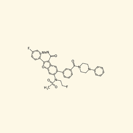 CNC(=O)c1c(-c2ccc(F)cc2)oc2cc(N(CCF)S(C)(=O)=O)c(-c3cccc(C(=O)N4CCN(c5ccccc5)CC4)c3)cc12